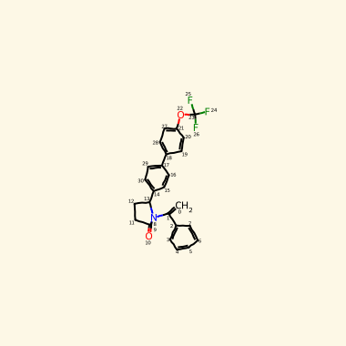 C=C(c1ccccc1)N1C(=O)CCC1c1ccc(-c2ccc(OC(F)(F)F)cc2)cc1